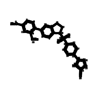 COc1ccc(-c2ccc3c(c2)CCN3S(=O)(=O)c2ccc(-c3noc(=O)[nH]3)cc2)c(OC)n1